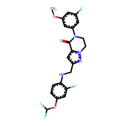 COc1cc(F)cc(N2CCn3nc(CNc4ccc(OC(F)F)cc4F)cc3C2=O)c1